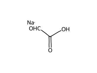 O=CC(=O)O.[Na]